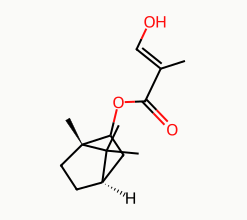 CC(=CO)C(=O)OC1C[C@H]2CC[C@@]1(C)C2(C)C